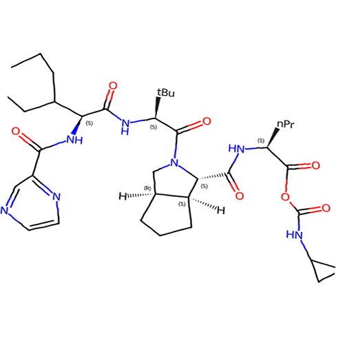 CCC[C@H](NC(=O)[C@@H]1[C@H]2CCC[C@H]2CN1C(=O)[C@@H](NC(=O)[C@@H](NC(=O)c1cnccn1)C1CCCCC1)C(C)(C)C)C(=O)OC(=O)NC1CC1